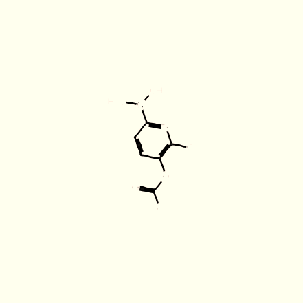 CC(=O)Oc1ccc(N(C)C)nc1Cl